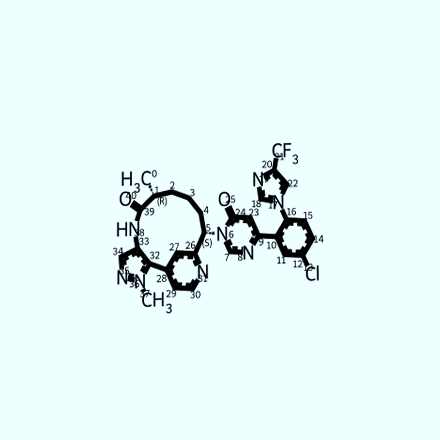 C[C@@H]1CCC[C@H](n2cnc(-c3cc(Cl)ccc3-n3cnc(C(F)(F)F)c3)cc2=O)c2cc(ccn2)-c2c(cnn2C)NC1=O